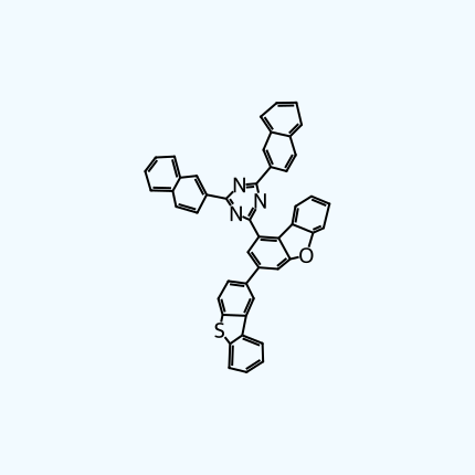 c1ccc2cc(-c3nc(-c4ccc5ccccc5c4)nc(-c4cc(-c5ccc6sc7ccccc7c6c5)cc5oc6ccccc6c45)n3)ccc2c1